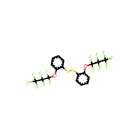 FC(F)(F)C(F)(F)C(F)(F)Oc1ccccc1SSc1ccccc1OC(F)(F)C(F)(F)C(F)(F)F